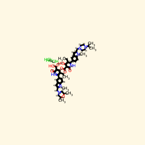 CCc1c(-c2ccc3c(c2)cc(CN2CCN(C(C)C)CC2)n3C)[nH]c(=O)c(C(=O)Oc2c(CC)c(-c3ccc4c(c3)cc(CN3C[C@@H](C)O[C@@H](C)C3)n4C)[nH]c(=O)c2C(=O)O)c1O.Cl.Cl.Cl